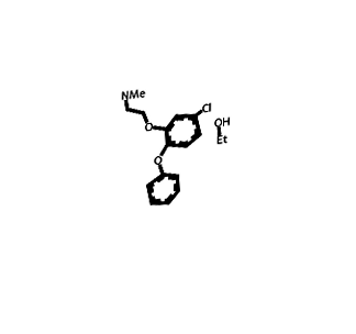 CCO.CNCCOc1cc(Cl)ccc1Oc1ccccc1